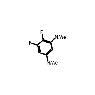 CNc1cc(F)c(F)c(NC)c1